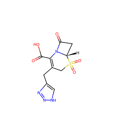 O=C(O)C1=C(Cc2c[nH]nn2)CS(=O)(=O)[C@H]2CC(=O)N12